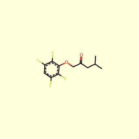 CC(C)CC(=O)COc1c(F)c(F)cc(F)c1F